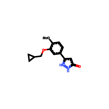 COc1ccc(-c2cc(=O)[nH][nH]2)cc1OCC1CC1